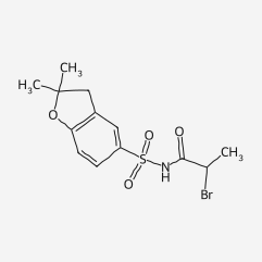 CC(Br)C(=O)NS(=O)(=O)c1ccc2c(c1)CC(C)(C)O2